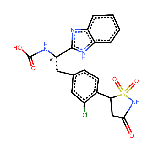 O=C(O)N[C@@H](Cc1ccc(C2CC(=O)NS2(=O)=O)c(Cl)c1)c1nc2ccccc2[nH]1